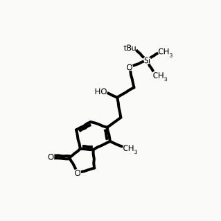 Cc1c(CC(O)CO[Si](C)(C)C(C)(C)C)ccc2c1COC2=O